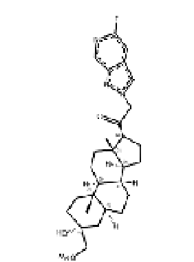 COC[C@@]1(O)CC[C@@]2(C)[C@@H](CC[C@@H]3[C@@H]2CC[C@]2(C)[C@@H](C(=O)Cn4cc5cc(F)ncc5n4)CC[C@@H]32)C1